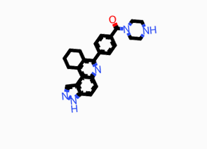 O=C(c1ccc(-c2nc3ccc4[nH]ncc4c3c3c2CCCC3)cc1)N1CCNCC1